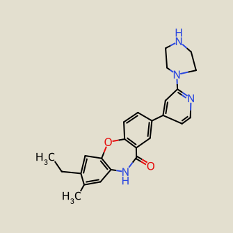 CCc1cc2c(cc1C)NC(=O)c1cc(-c3ccnc(N4CCNCC4)c3)ccc1O2